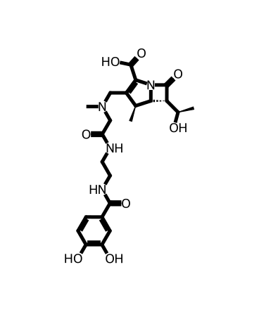 C[C@H]1C(CN(C)CC(=O)NCCNC(=O)c2ccc(O)c(O)c2)=C(C(=O)O)N2C(=O)[C@H]([C@@H](C)O)C12